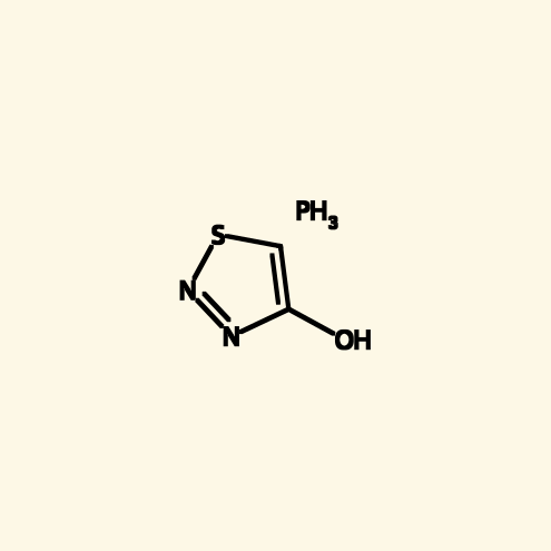 Oc1csnn1.P